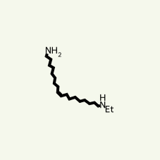 CCNCCCCCCCC/C=C\CCCCCCCCN